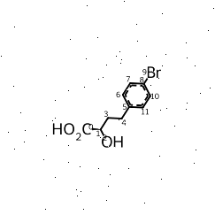 O=C(O)[C@H](O)CCc1ccc(Br)cc1